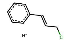 ClC/C=C/c1ccccc1.[H+]